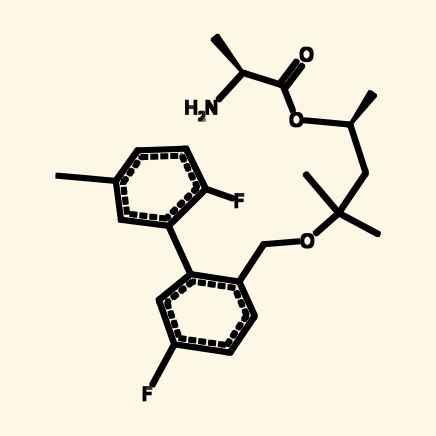 Cc1ccc(F)c(-c2cc(F)ccc2COC(C)(C)C[C@H](C)OC(=O)[C@H](C)N)c1